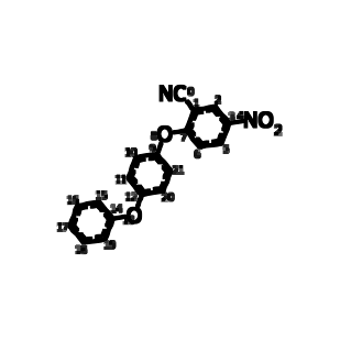 N#Cc1cc([N+](=O)[O-])ccc1Oc1ccc(Oc2ccccc2)cc1